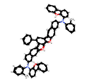 Cc1ccccc1N(c1ccc2cc3c(cc2c1)oc1c3cc(-c2ccccc2)c2c3cc4ccc(N(c5ccccc5C)c5cccc6c5oc5ccccc56)cc4cc3oc12)c1cccc2c1oc1ccccc12